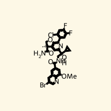 COc1cc(C(=O)NC[C@](O)(c2cc3c(c(-c4cc(F)c(F)cc4Cl)n2)OC[C@]3(C)C(N)=O)C2CC2)cc2cc(Br)cnc12